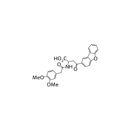 COc1ccc(CC(=O)NC(CC(=O)c2ccc3oc4ccccc4c3c2)C(=O)O)cc1OC